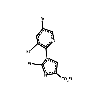 CCOC(=O)c1cn(-c2ncc(Br)cc2CC)c(CC)n1